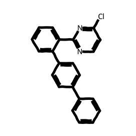 Clc1ccnc(-c2ccccc2-c2ccc(-c3ccccc3)cc2)n1